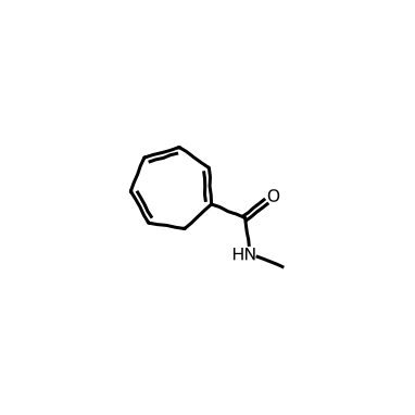 CNC(=O)C1=CC=CC=CC1